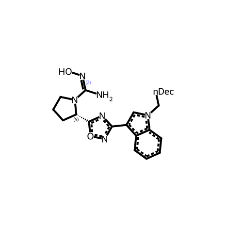 CCCCCCCCCCCn1cc(-c2noc([C@@H]3CCCN3/C(N)=N\O)n2)c2ccccc21